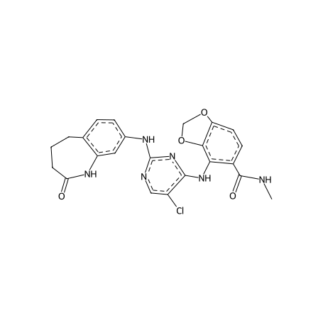 CNC(=O)c1ccc2c(c1Nc1nc(Nc3ccc4c(c3)NC(=O)CCC4)ncc1Cl)OCO2